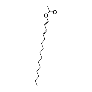 CCCCCCCCCCCC=CC=COC(C)=O